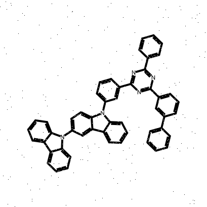 c1ccc(-c2cccc(-c3nc(-c4ccccc4)nc(-c4cccc(-n5c6ccccc6c6cc(-n7c8ccccc8c8ccccc87)ccc65)c4)n3)c2)cc1